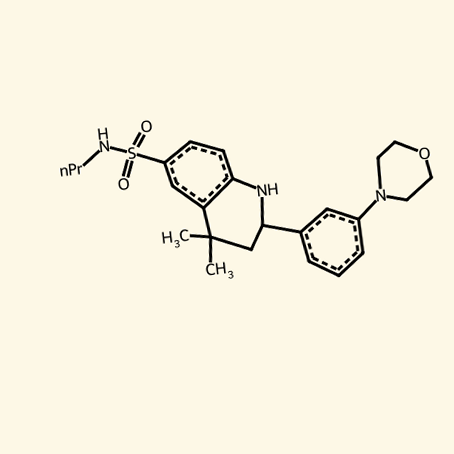 CCCNS(=O)(=O)c1ccc2c(c1)C(C)(C)CC(c1cccc(N3CCOCC3)c1)N2